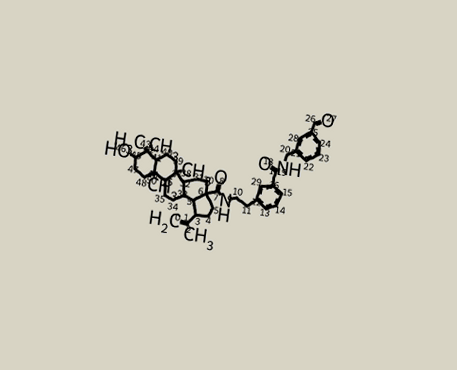 C=C(C)C1CCC2(C(=O)NCCc3cccc(C(=O)NCc4cccc(C=O)c4)c3)CCC3C(CCC4C3(C)CCC3C(C)(C)C(O)CCC34C)C12